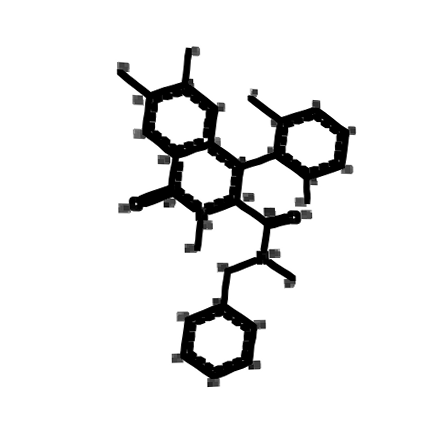 Cc1cc2c(-c3c(C)cccc3C)c(C(=O)N(C)Cc3ccccc3)n(C)c(=O)c2cc1C